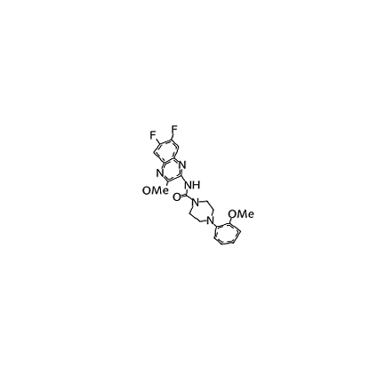 COc1ccccc1N1CCN(C(=O)Nc2nc3cc(F)c(F)cc3nc2OC)CC1